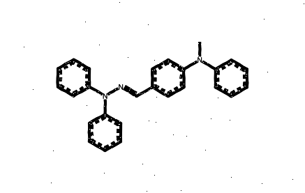 CN(c1ccccc1)c1ccc(/C=N/N(c2ccccc2)c2ccccc2)cc1